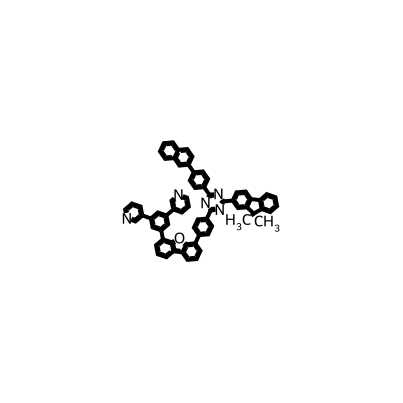 CC1(C)c2ccccc2-c2ccc(-c3nc(-c4ccc(-c5ccc6ccccc6c5)cc4)nc(-c4ccc(-c5cccc6c5oc5c(-c7cc(-c8cccnc8)cc(-c8cccnc8)c7)cccc56)cc4)n3)cc21